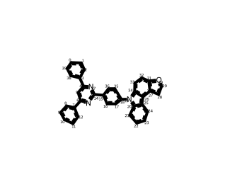 c1ccc(-c2cc(-c3ccccc3)nc(-c3ccc(-n4c5ccccc5c5c6ccoc6ccc54)cc3)n2)cc1